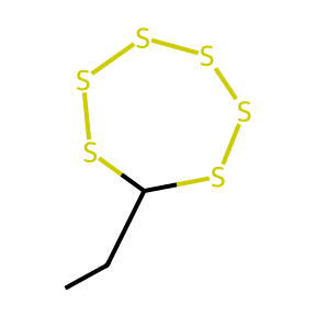 CCC1SSSSSS1